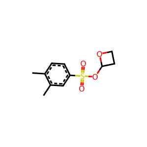 Cc1ccc(S(=O)(=O)OC2CCO2)cc1C